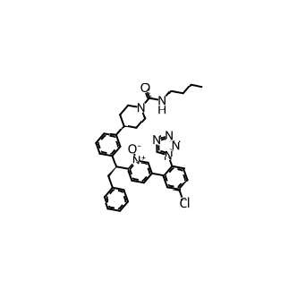 CCCCNC(=O)N1CCC(c2cccc([C@H](Cc3ccccc3)c3ccc(-c4cc(Cl)ccc4-n4cnnn4)c[n+]3[O-])c2)CC1